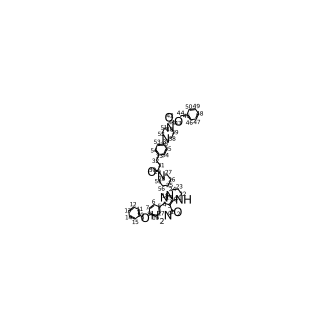 NC(=O)c1c(-c2ccc(Oc3ccccc3)cc2)nn2c1NCC[C@H]2C1CCN(C(=O)CCc2ccc(N3CCN(C(=O)OCc4ccccc4)CC3)cc2)CC1